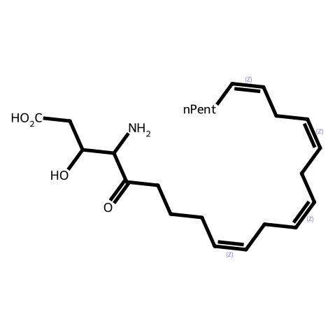 CCCCC/C=C\C/C=C\C/C=C\C/C=C\CCCC(=O)C(N)C(O)CC(=O)O